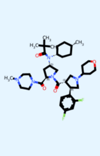 CN1CCN(C(=O)[C@H]2C[C@H](N(C(=O)C(C)(C)C)[C@H]3CC[C@@H](C)CC3)CN2C(=O)[C@@H]2CN(C3CCOCC3)C[C@H]2c2ccc(F)cc2F)CC1